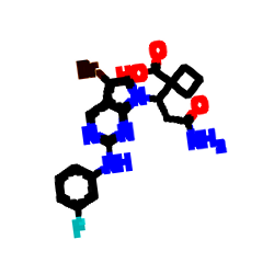 NC(=O)CC(n1cc(Br)c2cnc(Nc3cccc(F)c3)nc21)C1(C(=O)O)CCC1